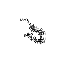 COc1ccc(-c2ccc(C3=CN4C(=O)c5cc(OC)c(OCCCOc6cc7c(cc6OC)C(=O)N6CC8(CC8)C[C@H]6C(O)N7C(=O)OCc6ccc(NC(=O)[C@H](C)NC(=O)[C@@H](NC(=O)CNC(=O)CNC(=O)CCC(=O)N7Cc8ccccc8-c8nnn(C(C)C)c8-c8ccccc87)C(C)C)cc6)cc5NC[C@@H]4C3)cc2)cc1